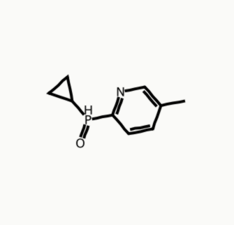 Cc1ccc([PH](=O)C2CC2)nc1